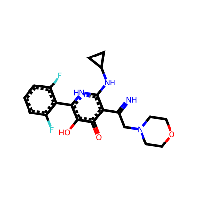 N=C(CN1CCOCC1)c1c(NC2CC2)[nH]c(-c2c(F)cccc2F)c(O)c1=O